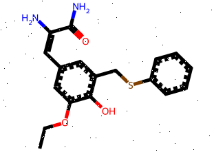 CCOc1cc(/C=C(/N)C(N)=O)cc(CSc2ccccc2)c1O